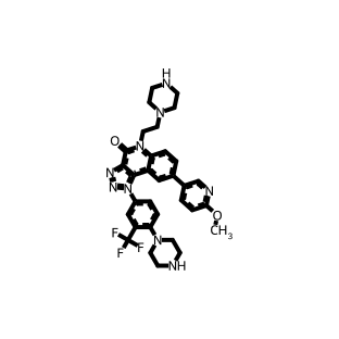 COc1ccc(-c2ccc3c(c2)c2c(nnn2-c2ccc(N4CCNCC4)c(C(F)(F)F)c2)c(=O)n3CCN2CCNCC2)cn1